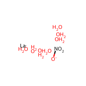 O.O.O.O.O.O.O.O=[N+]([O-])[O-].[La]